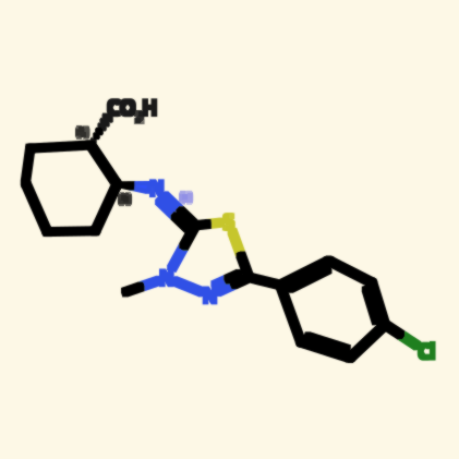 Cn1nc(-c2ccc(Cl)cc2)s/c1=N/[C@H]1CCCC[C@@H]1C(=O)O